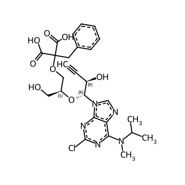 C#C[C@@H](O)[C@@H](O[C@@H](CO)COC(Cc1ccccc1)(C(=O)O)C(=O)O)n1cnc2c(N(C)C(C)C)nc(Cl)nc21